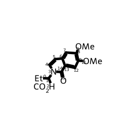 CCC(C(=O)O)n1ccc2cc(OC)c(OC)cc2c1=O